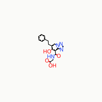 O=C(O)CNC(=O)c1c(O)c(CCc2ccccc2)cn2ncnc12